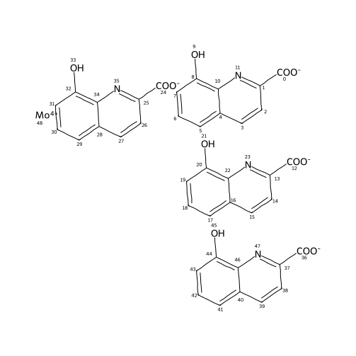 O=C([O-])c1ccc2cccc(O)c2n1.O=C([O-])c1ccc2cccc(O)c2n1.O=C([O-])c1ccc2cccc(O)c2n1.O=C([O-])c1ccc2cccc(O)c2n1.[Mo+4]